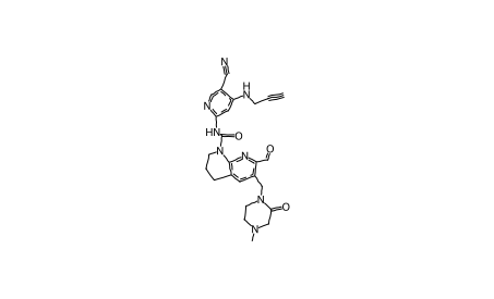 C#CCNc1cc(NC(=O)N2CCCc3cc(CN4CCN(C)CC4=O)c(C=O)nc32)ncc1C#N